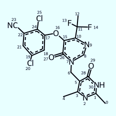 Cc1nc(C)c(Cn2cnc(C(C)(F)F)c(Oc3cc(Cl)cc(C#N)c3Cl)c2=O)c(=O)[nH]1